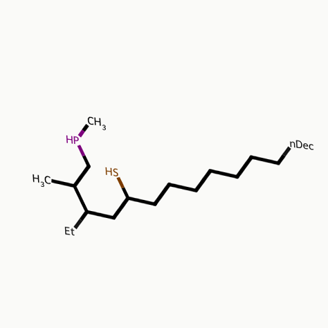 CCCCCCCCCCCCCCCCCC(S)CC(CC)C(C)CPC